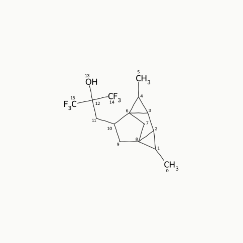 CC1C2C3C(C)C34CC12CC4CC(O)(C(F)(F)F)C(F)(F)F